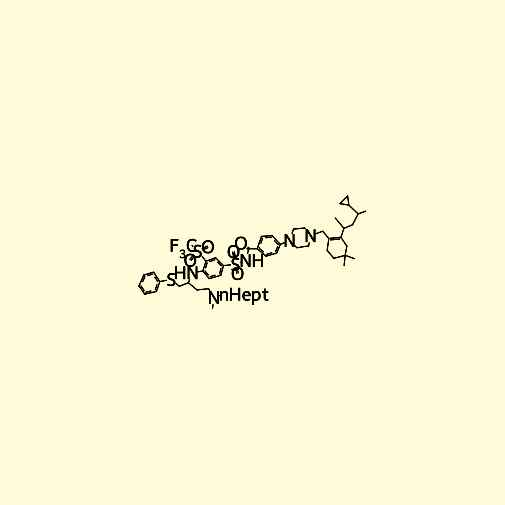 CCCCCCCN(C)CCC(CSc1ccccc1)Nc1ccc(S(=O)(=O)NC(=O)c2ccc(N3CCN(CC4=C(C(C)CC(C)C5CC5)CC(C)(C)CC4)CC3)cc2)cc1S(=O)(=O)C(F)(F)F